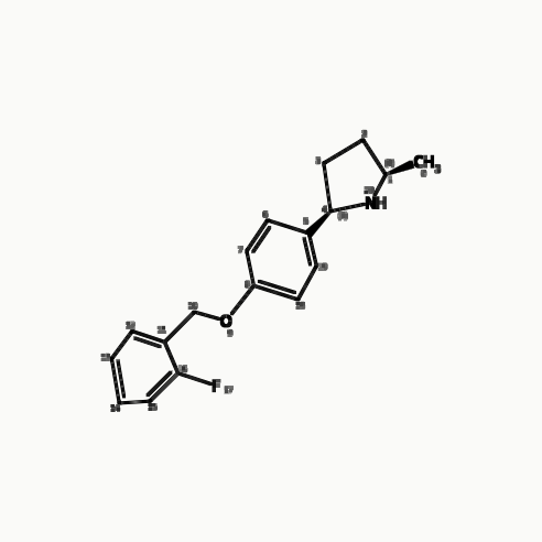 C[C@@H]1CC[C@H](c2ccc(OCc3ccccc3F)cc2)N1